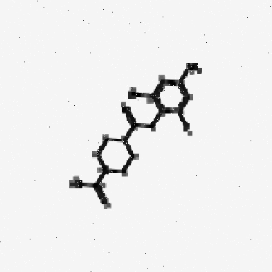 Nc1cc(F)c(CC(=O)C2CCN(C(=O)O)CC2)c(Br)c1